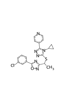 CC(Sc1nnc(-c2ccncc2)n1C1CC1)c1noc(-c2cccc(Cl)c2)n1